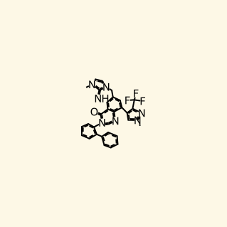 Cn1cc(-c2cc(Cn3ccn(C)c3=N)cc3c(=O)n(-c4ccccc4-c4ccccc4)cnc23)c(C(F)(F)F)n1